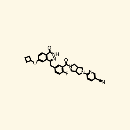 N#Cc1ccc(N2CC3CN(C(=O)c4cc(Cc5n[nH]c(=O)c6ccc(OC7CCC7)cc56)ccc4F)CC3C2)nc1